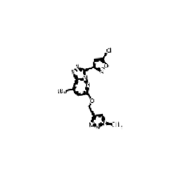 Cn1cc(COc2cc(C(C)(C)C)c3nnc(-c4cc(Cl)on4)n3n2)nn1